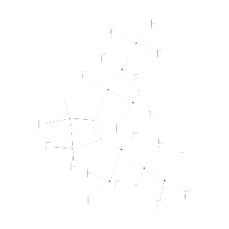 FC(F)(F)C(F)(F)C(F)(C1=C(C(F)(C(F)(F)F)C(F)(F)C(F)(F)F)C(F)(F)C1(F)F)C(F)(F)F